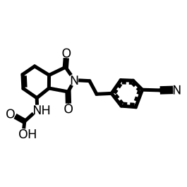 N#Cc1ccc(CCN2C(=O)C3CC=CC(NC(=O)O)C3C2=O)cc1